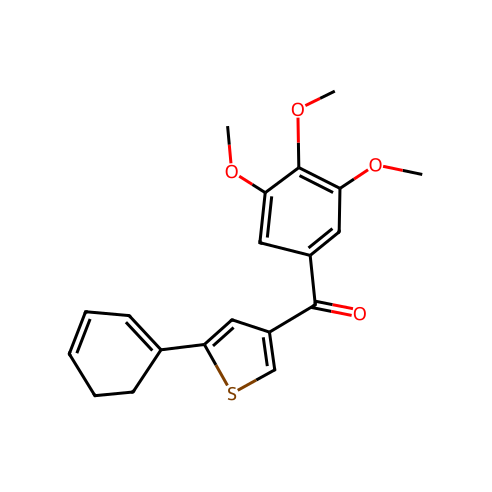 COc1cc(C(=O)c2csc(C3=CC=CCC3)c2)cc(OC)c1OC